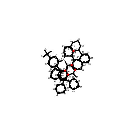 CC1C=CC(N(c2cc(C(C)(C)C)ccc2-c2ccccc2)c2ccccc2-c2cccc3cccc(C4CCCCC4)c23)=C2c3ccccc3C(c3ccccc3)(c3ccccc3)C21